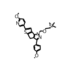 COc1ccc(-c2nn(COCC[Si](C)(C)C)c3c2Cc2sc(-c4ccc(OC)nc4)cc2-3)cc1